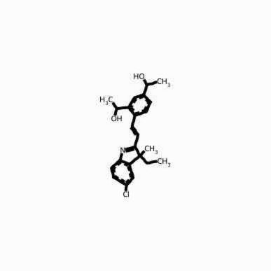 CCC1(C)C(/C=C/c2ccc(C(C)O)cc2C(C)O)=Nc2ccc(Cl)cc21